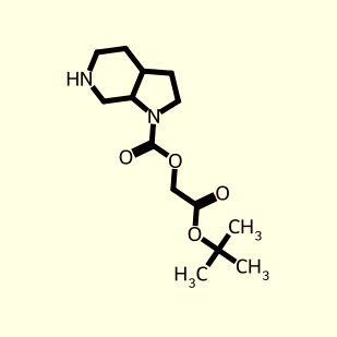 CC(C)(C)OC(=O)COC(=O)N1CCC2CCNCC21